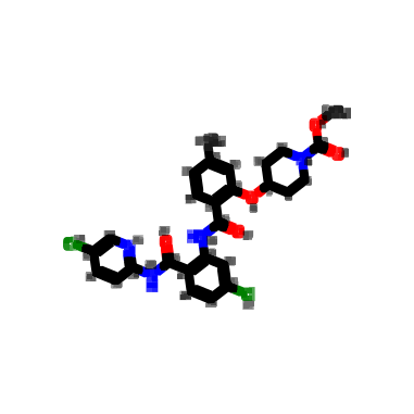 CC(C)(C)OC(=O)N1CCC(Oc2cc(C(C)(C)C)ccc2C(=O)Nc2cc(Cl)ccc2C(=O)Nc2ccc(Cl)cn2)CC1